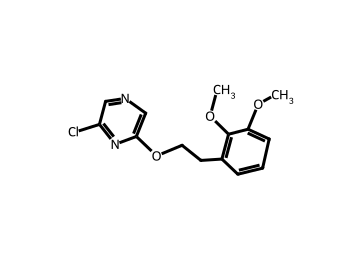 COc1cccc(CCOc2cncc(Cl)n2)c1OC